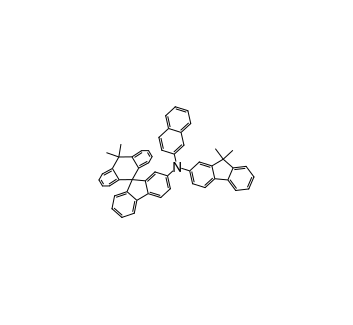 CC1(C)c2ccccc2-c2ccc(N(c3ccc4c(c3)C3(c5ccccc5-4)c4ccccc4C(C)(C)c4ccccc43)c3ccc4ccccc4c3)cc21